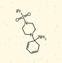 CC(C)S(=O)(=O)N1CCN(C2(N)C=CC=CC2)CC1